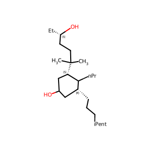 CCCC(C)CCC[C@@H]1CC(O)C[C@H](C(C)(C)CC[C@@H](O)CC)C1CCC